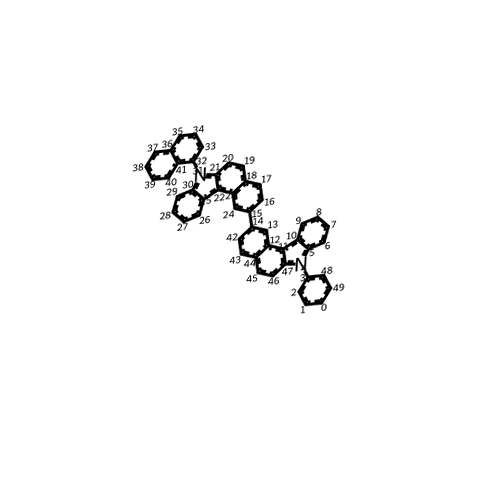 c1ccc(-n2c3ccccc3c3c4cc(-c5ccc6ccc7c(c6c5)c5ccccc5n7-c5cccc6ccccc56)ccc4ccc32)cc1